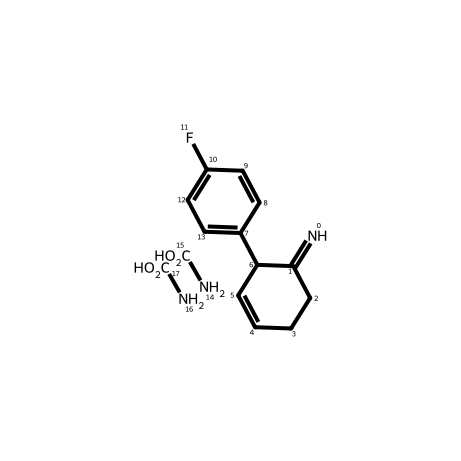 N=C1CCC=CC1c1ccc(F)cc1.NC(=O)O.NC(=O)O